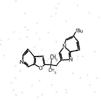 CC(C)(C)c1ccc2nc(CC(C)(C)c3cc4ccncc4o3)cn2c1